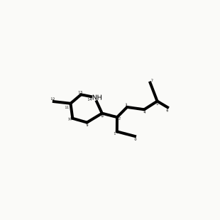 CCC(CCC(C)C)C1CCC(C)CN1